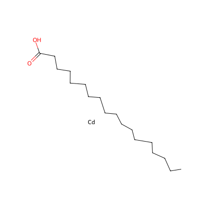 CCCCCCCCCCCCCCCCCC(=O)O.[Cd]